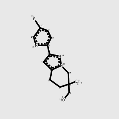 CC1(CO)CCc2cc(-c3ccc(F)cn3)nn2C1